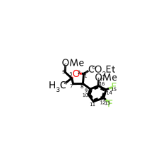 CCOC(=O)C1OC(C)(COC)CC1c1ccc(F)c(F)c1OC